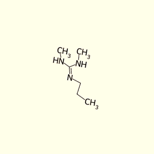 CCCN=C(NC)NC